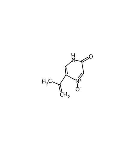 C=C(C)c1c[nH]c(=O)c[n+]1[O-]